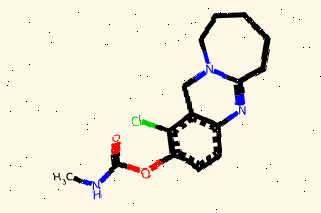 CNC(=O)Oc1ccc2c(c1Cl)CN1CCCCCC1=N2